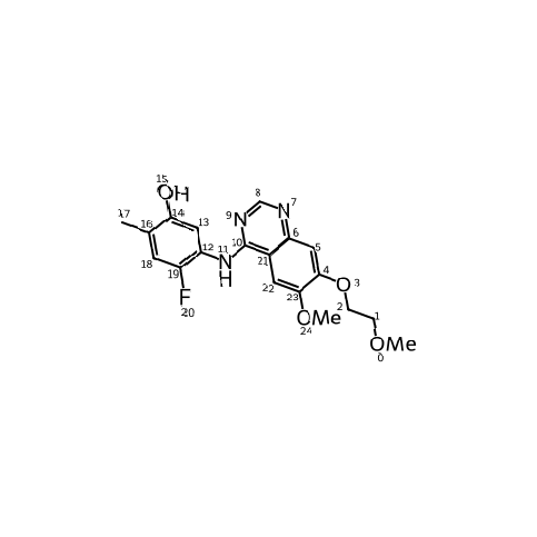 COCCOc1cc2ncnc(Nc3cc(O)c(C)cc3F)c2cc1OC